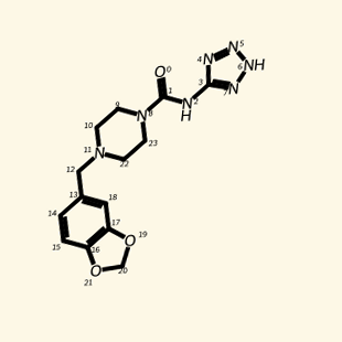 O=C(Nc1nn[nH]n1)N1CCN(Cc2ccc3c(c2)OCO3)CC1